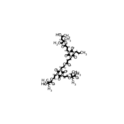 CCCn1c(=O)n(CCC(=O)OCCn2c(=O)n(CCOC(=O)C(C)(C)O)c(=O)n(CCOC(C)(CC)C(C)=O)c2=O)c(=O)n(CCC(=O)OC(C)(CC)CC(C)O)c1=O